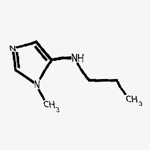 CCCNc1cncn1C